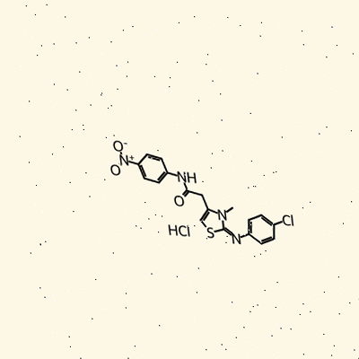 Cl.Cn1c(CC(=O)Nc2ccc([N+](=O)[O-])cc2)cs/c1=N/c1ccc(Cl)cc1